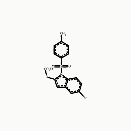 CCOC(=O)Oc1cc2cc(Br)ccc2n1S(=O)(=O)c1ccc(C)cc1